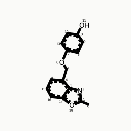 Cc1nc2c(COc3ccc(O)cc3)cccc2o1